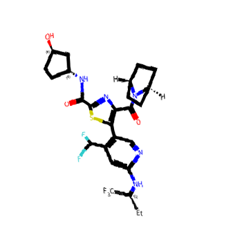 CC[C@H](Nc1cc(C(F)F)c(-c2sc(C(=O)N[C@@H]3CC[C@@H](O)C3)nc2C(=O)N2[C@H]3CC[C@H]2CC3)cn1)C(F)(F)F